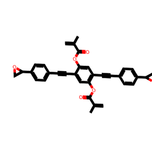 C=C(C)C(=O)Oc1cc(C#Cc2ccc(C3CO3)cc2)c(OC(=O)C(=C)C)cc1C#Cc1ccc(C2CO2)cc1